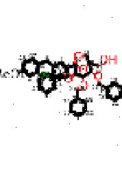 COc1ccc(Cc2cc(C34OCC(CO)(O3)[C@@H](OCc3ccccc3)[C@H](OCc3ccccc3)C4OCc3ccccc3)ccc2F)cc1